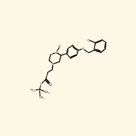 CC(C)(C)OC(=O)CCN1CC[S+]([O-])C(c2ccc(OCc3ccccc3Cl)cc2)C1